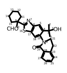 CC(C)(O)c1cc2nc(C3(C=O)CCCCC3)sc2cc1N1CCc2ccccc2C1=O